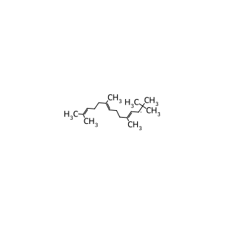 CC(C)=CCCC(C)=CCCC(C)=C[CH]C(C)(C)C